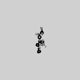 N#Cc1ccnc(NC2CCC(n3cc(-c4cccc(OCC56CCC(CC5)O6)c4)c4c(N)ncnc43)CC2)c1